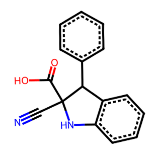 N#CC1(C(=O)O)Nc2ccccc2C1c1ccccc1